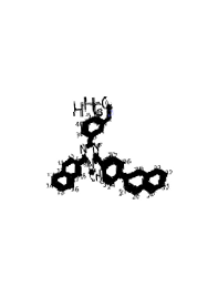 C/C=C\c1cc(C2=NC(c3ccc4ccccc4c3)N(C)C(c3ccc(-c4ccc5ccccc5c4)cc3)=N2)ccc1C